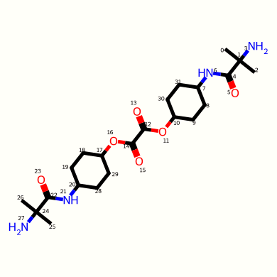 CC(C)(N)C(=O)NC1CCC(OC(=O)C(=O)OC2CCC(NC(=O)C(C)(C)N)CC2)CC1